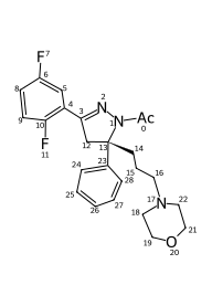 CC(=O)N1N=C(c2cc(F)ccc2F)C[C@@]1(CCCN1CCOCC1)c1ccccc1